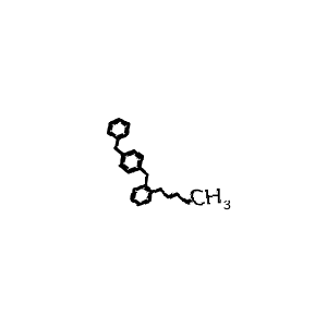 CCCCCc1ccccc1Cc1ccc(Cc2ccccc2)cc1